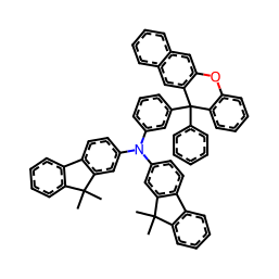 CC1(C)c2ccccc2-c2ccc(N(c3cccc(C4(c5ccccc5)c5ccccc5Oc5cc6ccccc6cc54)c3)c3ccc4c(c3)C(C)(C)c3ccccc3-4)cc21